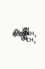 CCOC(=O)c1c(CNC)n(-c2ccccc2)c2cc(-c3cccc4ccccc34)ccc12